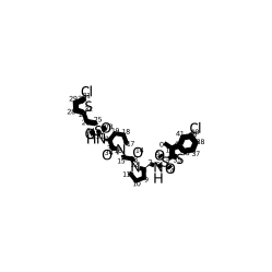 Cc1c(S(=O)(=O)NC[C@@H]2CCCN2C(=O)CN2CCC[C@H](NS(=O)(=O)/C=C/c3ccc(Cl)s3)C2=O)sc2ccc(Cl)cc12